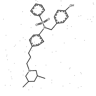 CC1CC(C)CN(CCCc2ccc(N(Cc3ccc(O)cc3)S(=O)(=O)c3ccccc3)cc2)C1